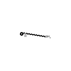 [SiH3]CCCCCCCCCCCCCCCCNCc1ccccc1